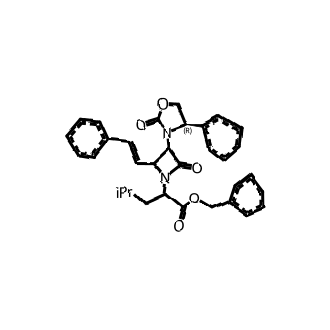 CC(C)CC(C(=O)OCc1ccccc1)N1C(=O)C(N2C(=O)OC[C@H]2c2ccccc2)C1C=Cc1ccccc1